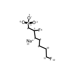 O=S(=O)([O-])CC(F)CCCCCF.[Na+]